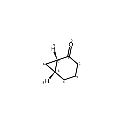 O=C1CCC[C@@H]2C[C@H]12